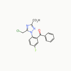 O=C(O)c1nc(CCl)n(-c2ccc(F)cc2C(=O)c2ccccc2)n1